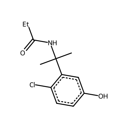 CCC(=O)NC(C)(C)c1cc(O)ccc1Cl